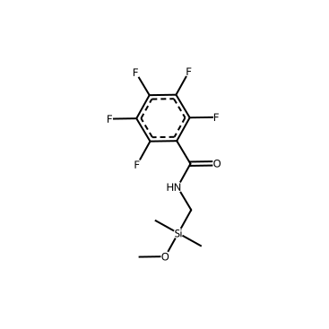 CO[Si](C)(C)CNC(=O)c1c(F)c(F)c(F)c(F)c1F